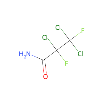 NC(=O)C(F)(Cl)C(F)(Cl)Cl